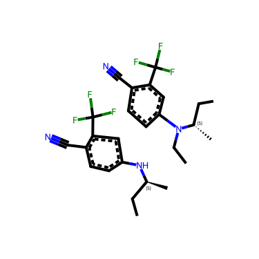 CC[C@H](C)N(CC)c1ccc(C#N)c(C(F)(F)F)c1.CC[C@H](C)Nc1ccc(C#N)c(C(F)(F)F)c1